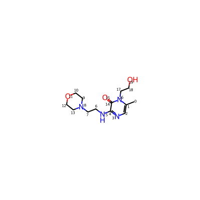 Cc1cnc(NCCN2CCOCC2)c(=O)n1CCO